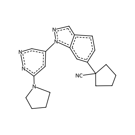 N#CC1(c2ccc3cnn(-c4cnnc(N5CCCC5)c4)c3c2)CCCC1